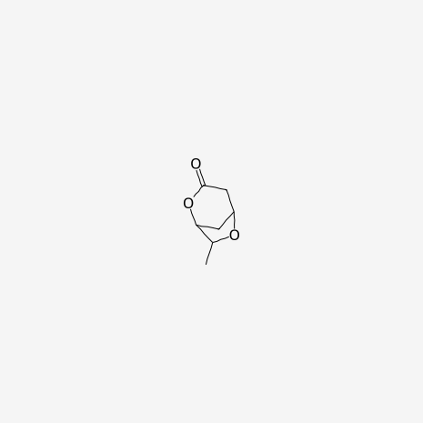 CC1OC2CC(=O)OC1C2